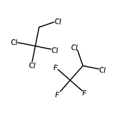 ClCC(Cl)(Cl)Cl.FC(F)(F)C(Cl)Cl